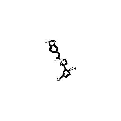 O=C(Cc1ccc2[nH]cnc2c1)N1CCC(c2cc(Cl)ccc2O)=N1